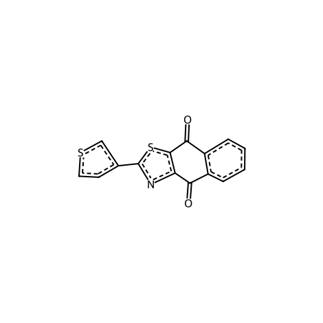 O=C1c2ccccc2C(=O)c2sc(-c3ccsc3)nc21